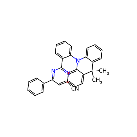 CC1(C)c2ccccc2N(c2ccccc2-c2nc(C#N)cc(-c3ccccc3)n2)c2ccccc21